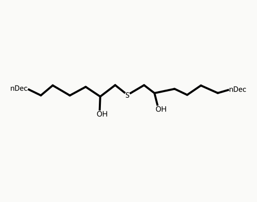 CCCCCCCCCCCCCCC(O)CSCC(O)CCCCCCCCCCCCCC